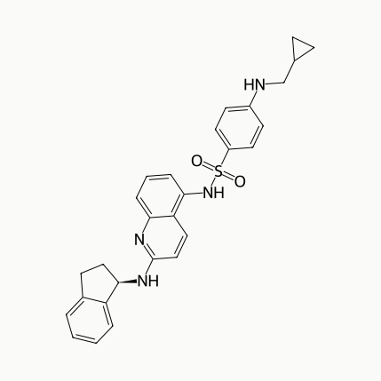 O=S(=O)(Nc1cccc2nc(N[C@@H]3CCc4ccccc43)ccc12)c1ccc(NCC2CC2)cc1